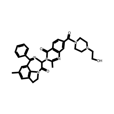 Cc1cc2c3c(c1)C(c1ccccc1)=NC(n1c(C)nc4cc(C(=O)N5CCN(CCO)CC5)ccc4c1=O)C(=O)N3CC2